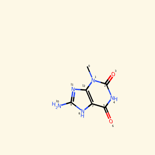 Cn1c(=O)[nH]c(=O)c2[nH]c(N)nc21